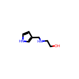 OCCNCc1cc[nH]c1